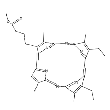 CCC1=C(C)C2=NC1=CC1=NC(=NC3=NC(=CC4=NC(=N2)C(C)=C4)C(CCCC(=O)OC)=C3C)C(C)=C1CC